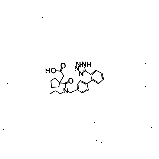 CCCN(Cc1ccc(-c2ccccc2-c2nnn[nH]2)cc1)C(=O)C1(CC(=O)O)CCCC1